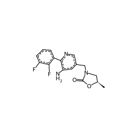 C[C@@H]1CN(Cc2cnc(-c3cccc(F)c3F)c(N)c2)C(=O)O1